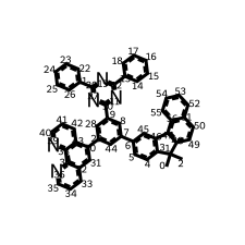 CC1(C)c2ccc(-c3cc(-c4nc(-c5ccccc5)nc(-c5ccccc5)n4)cc(-c4cc5cccnc5c5ncccc45)c3)cc2-c2c1ccc1ccccc21